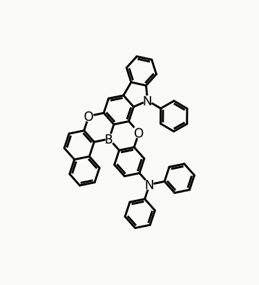 c1ccc(N(c2ccccc2)c2ccc3c(c2)Oc2c4c(cc5c6ccccc6n(-c6ccccc6)c25)Oc2ccc5ccccc5c2B34)cc1